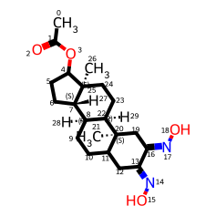 CC(=O)OC1CC[C@H]2[C@@H]3CCC4CC(=NO)C(=NO)C[C@]4(C)[C@@H]3CC[C@]12C